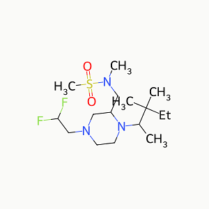 CCC(C)(C)C(C)N1CCN(CC(F)F)CC1CN(C)S(C)(=O)=O